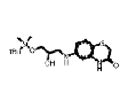 CC(C)(C)[Si](C)(C)OCC(O)CNc1ccc2c(c1)NC(=O)CS2